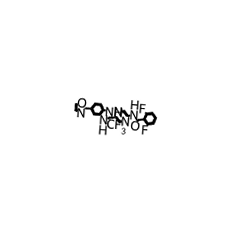 O=C(Nc1cnc(C2(C(F)(F)F)Nc3ccc(-c4ncco4)cc3N2)cn1)c1c(F)cccc1F